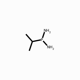 CC(C)P(N)N